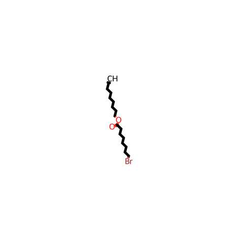 C#CCCCCCCCOC(=O)CCCCCCCBr